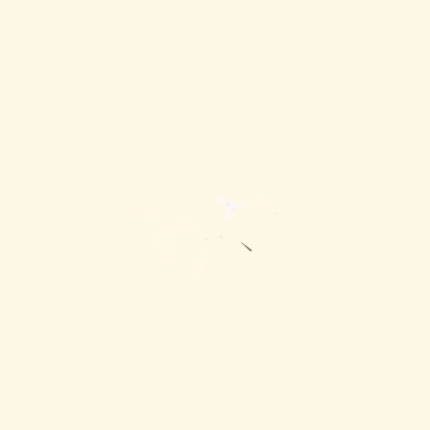 C[C@@H](C(=O)OP(=O)(O)Cl)N(OC(C)(C)C)c1ccccc1